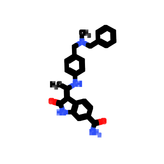 CC(Nc1ccc(CN(C)Cc2ccccc2)cc1)=C1C(=O)Nc2cc(C(N)=O)ccc21